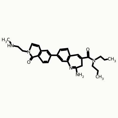 CCCN(CCC)C(=O)C1=Cc2ccc(-c3ccc4c(=O)n(CCNC)ccc4c3)cc2N=C(N)C1